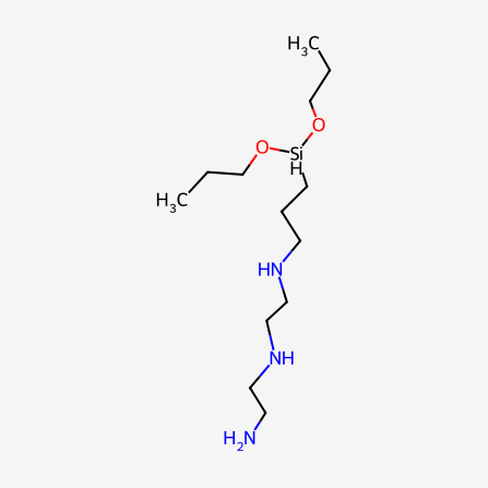 CCCO[SiH](CCCNCCNCCN)OCCC